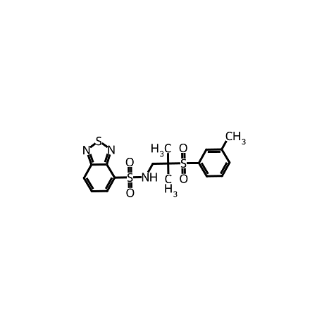 Cc1cccc(S(=O)(=O)C(C)(C)CNS(=O)(=O)c2cccc3nsnc23)c1